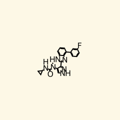 CN(C(=O)NC1CC1)c1c[nH]nc1-c1nc2c(-c3cccc(F)c3)cccc2[nH]1